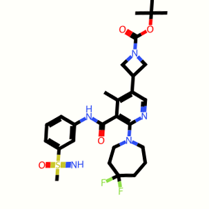 Cc1c(C2CN(C(=O)OC(C)(C)C)C2)cnc(N2CCCC(F)(F)CC2)c1C(=O)Nc1cccc(S(C)(=N)=O)c1